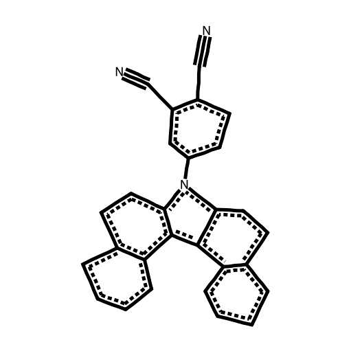 N#Cc1ccc(-n2c3ccc4ccccc4c3c3c4ccccc4ccc32)cc1C#N